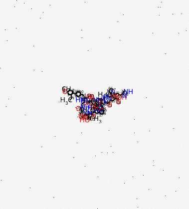 CCc1cc(OC)ccc1-c1ccc(C[C@H](NC(=O)CNC(=O)[C@H](CO)NC(=O)[C@@H](NC(=O)[C@](C)(Cc2ccccc2F)NC(=O)[C@@H](NC(=O)CNC(=O)[C@H](CCC(=O)O)NC(=O)[C@]2(C)CCCN2C(=O)CCc2c[nH]cn2)[C@@H](C)O)[C@@H](C)O)C(=O)N[C@@H](CCOc2ccccc2)C(N)=O)cc1